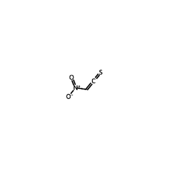 O=[N+]([O-])C=C=S